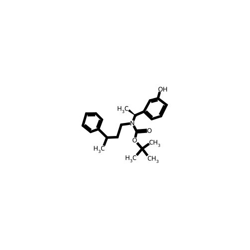 CC(CCN(C(=O)OC(C)(C)C)[C@@H](C)c1cccc(O)c1)c1ccccc1